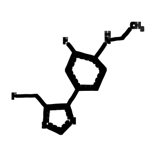 CCNc1ccc(-c2ncsc2CF)cc1F